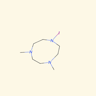 CN1CCN(C)CCN(I)CC1